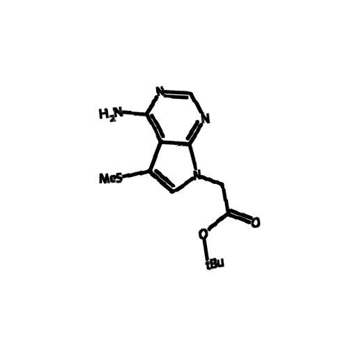 CSc1cn(CC(=O)OC(C)(C)C)c2ncnc(N)c12